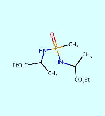 CCOC(=O)C(C)NP(C)(=O)NC(C)C(=O)OCC